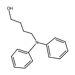 OCCCCN(c1ccccc1)c1ccccc1